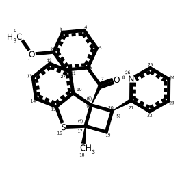 COc1cccc(C(=O)[C@]23c4ccccc4S[C@@]2(C)C[C@@H]3c2ccccn2)c1